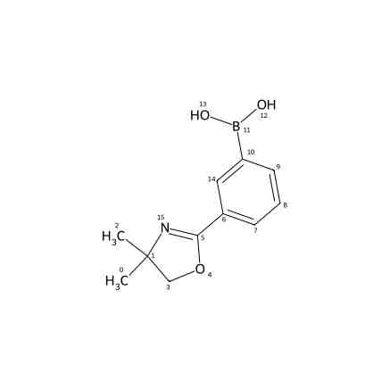 CC1(C)COC(c2cccc(B(O)O)c2)=N1